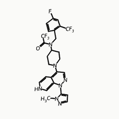 Cn1nccc1N1N=CC(N2CCC(N(Cc3ccc(F)cc3C(F)(F)F)C(=O)C(F)(F)F)CC2)=C2C=CNC=C21